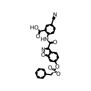 N#Cc1ccc(NC(=O)c2noc3cc(OS(=O)(=O)Cc4ccccc4)ccc23)c(C(=O)O)c1